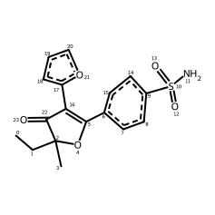 CCC1(C)OC(c2ccc(S(N)(=O)=O)cc2)=C(c2ccco2)C1=O